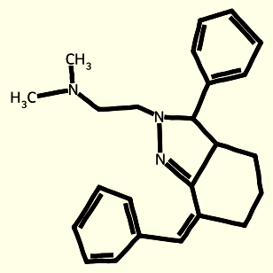 CN(C)CCN1N=C2/C(=C\c3ccccc3)CCCC2C1c1ccccc1